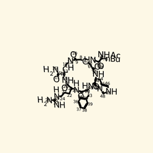 CCCC[C@H](NC(C)=O)C(=O)N[C@H]1CCC(=O)NCC[C@@H](C(N)=O)NC(=O)C(CCCNC(=N)N)NC(=O)[C@@H](Cc2ccccc2)NC(=O)[C@H](Cc2c[nH]cn2)NC1=O